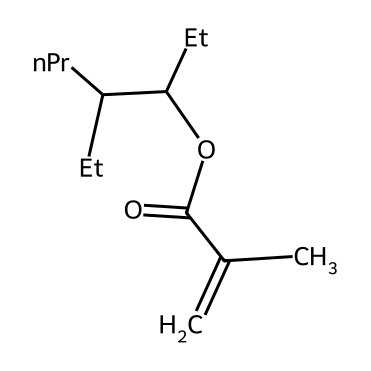 C=C(C)C(=O)OC(CC)C(CC)CCC